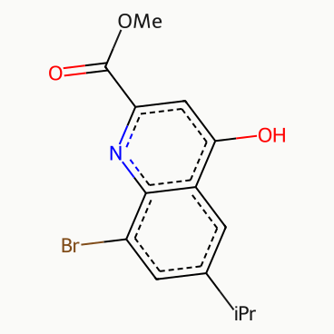 COC(=O)c1cc(O)c2cc(C(C)C)cc(Br)c2n1